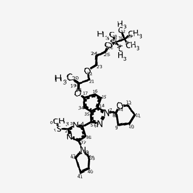 CSc1nc(-c2nn(C3CCCCO3)c3ccc(OC(C)COCCCO[Si](C)(C)C(C)(C)C)cc23)cc(N2CCCC2)n1